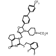 O=C(O)N1CCC(N2C(Cn3c(SCc4cccc(F)c4F)nc(=O)c4c3CCC4)=NOC2c2ccc(-c3ccc(C(F)(F)F)cc3)cc2)CC1